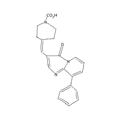 O=C(O)N1CCC(=Cc2cnc3c(-c4ccccc4)cccn3c2=O)CC1